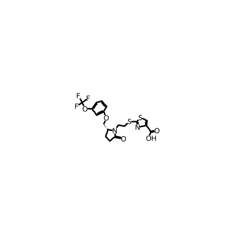 O=C(O)c1csc(SCCN2C(=O)CC[C@@H]2COc2cccc(OC(F)(F)F)c2)n1